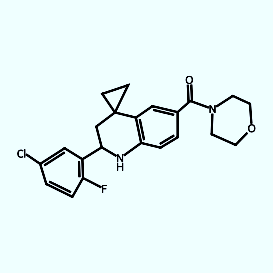 O=C(c1ccc2c(c1)C1(CC1)CC(c1cc(Cl)ccc1F)N2)N1CCOCC1